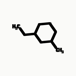 CCC1C[CH]CC(C)C1